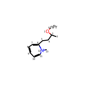 CCCO[C](C)CCC1=CC=CC=CN1C